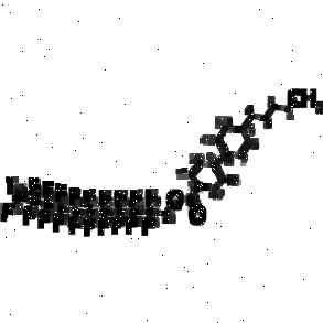 CCCCCc1ccc(-c2ccc(C(=O)OCC(F)(F)C(F)(F)C(F)(F)C(F)(F)C(F)(F)C(F)(F)C(F)(F)C(F)(F)C(F)(F)C(F)F)cc2)cc1